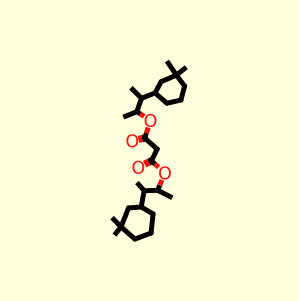 CC(OC(=O)CC(=O)OC(C)C(C)C1CCCC(C)(C)C1)C(C)C1CCCC(C)(C)C1